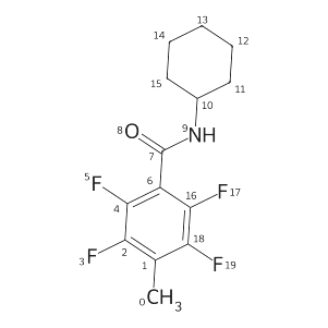 Cc1c(F)c(F)c(C(=O)NC2CCCCC2)c(F)c1F